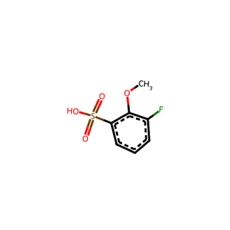 COc1c(F)cccc1S(=O)(=O)O